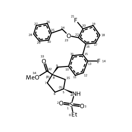 CCS(=O)(=O)N[C@H]1CC[C@](Cc2ccc(F)c(-c3cccc(F)c3OCc3ccccc3)c2)(C(=O)OC)C1